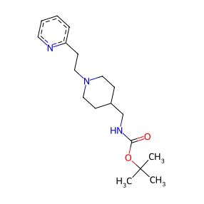 CC(C)(C)OC(=O)NCC1CCN(CCc2ccccn2)CC1